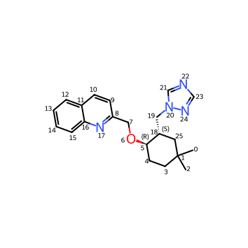 CC1(C)CC[C@@H](OCc2ccc3ccccc3n2)[C@H](Cn2cncn2)C1